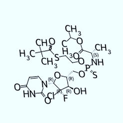 CC(C)OC(=O)[C@H](C)NP(=S)(OCCSC(=O)C(C)(C)C)OC[C@H]1O[C@@H](n2ccc(=O)[nH]c2=O)[C@](F)(Cl)[C@@H]1O